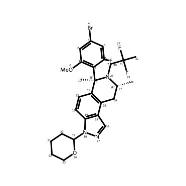 COc1cc(Br)cc(F)c1[C@]1(C)c2ccc3c(cnn3C3CCCCO3)c2C[C@@H](C)N1CC(C)(F)F